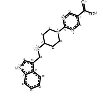 O=C(O)c1cnc(N2CCC(NCc3c[nH]c4ccccc34)CC2)nc1